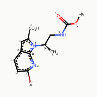 C[C@H](CNC(=O)OC(C)(C)C)n1c(C(=O)O)cc2ccc(Br)nc21